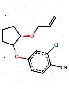 C=CCO[C@@H]1CCC[C@H]1Oc1ccc(C#N)c(Cl)c1